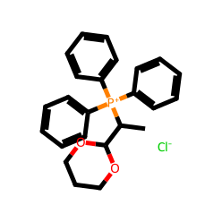 CC(C1OCCCO1)[P+](c1ccccc1)(c1ccccc1)c1ccccc1.[Cl-]